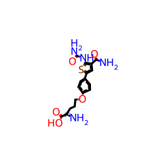 NC(=O)Nc1sc(-c2ccc(OCCC[C@@H](N)C(=O)O)cc2)cc1C(N)=O